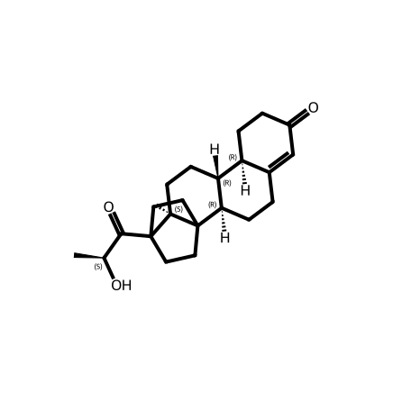 C[C@H](O)C(=O)C12CCC3(CC1)[C@@H]1CCC4=CC(=O)CC[C@@H]4[C@H]1CC[C@]23C